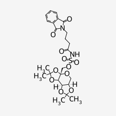 CC1(C)O[C@@H]2CO[C@@]3(COS(=O)(=O)NC(=O)CCCN4C(=O)c5ccccc5C4=O)OC(C)(C)OC3[C@@H]2O1